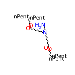 CCCCCC(CCCCC)CCCOC(=O)CCCCCCCN(CCCN)CCCCCCCC(=O)OCCCC(CCCCC)CCCCC